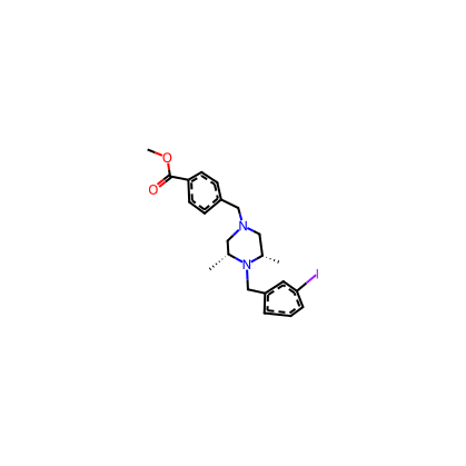 COC(=O)c1ccc(CN2C[C@@H](C)N(Cc3cccc(I)c3)[C@@H](C)C2)cc1